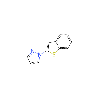 c1ccc2sc(-n3cccn3)cc2c1